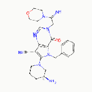 N#Cc1c(N2CCC[C@H](N)C2)n(Cc2ccccc2)c2c(=O)n(CC(=N)N3CCOCC3)cnc12